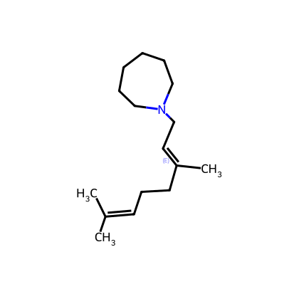 CC(C)=CCC/C(C)=C/CN1CCCCCC1